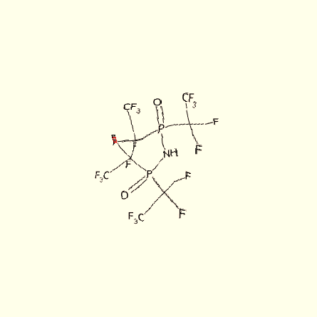 O=P(NP(=O)(C(F)(F)C(F)(F)F)C(F)(F)C(F)(F)F)(C(F)(F)C(F)(F)F)C(F)(F)C(F)(F)F